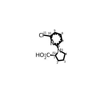 O=C(O)[C@@H]1CCCN1c1cccc(Cl)n1